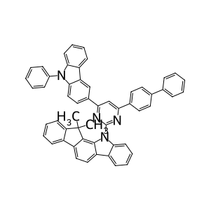 CC1(C)c2ccccc2-c2ccc3c4ccccc4n(-c4nc(-c5ccc(-c6ccccc6)cc5)cc(-c5ccc6c(c5)c5ccccc5n6-c5ccccc5)n4)c3c21